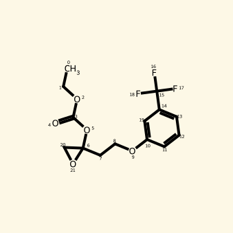 CCOC(=O)OC1(CCOc2cccc(C(F)(F)F)c2)CO1